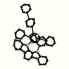 c1ccc(-c2ccc(-c3nc(-c4ccccc4)nc(-n4c5ccccc5c5ccc6c7ccccc7n(-c7cccc8nc(-c9ccccc9)sc78)c6c54)n3)cc2)cc1